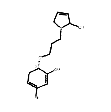 CCC1=CC[C@H](OCCCN2CC=CC2O)C(O)=C1